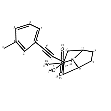 Cc1cccc(C#CC2(O)CC3CCC(C2)N3S(=O)(=O)C(C)C)c1